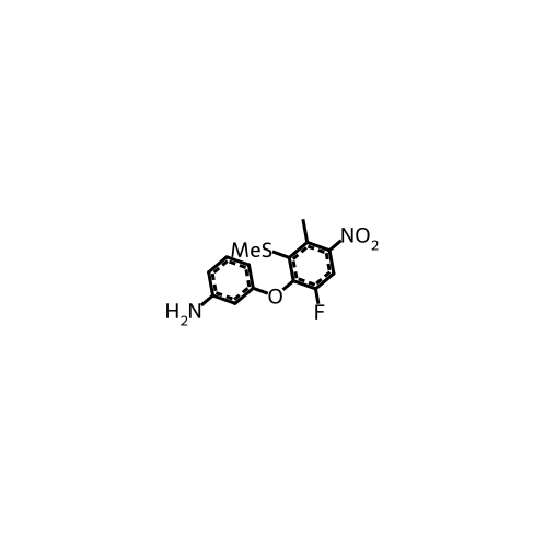 CSc1c(C)c([N+](=O)[O-])cc(F)c1Oc1cccc(N)c1